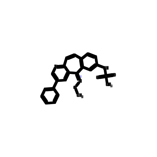 CO/N=c1/c2cc(NS(C)(=O)=O)ccc2ccc2ncc(-c3ccccc3)cc12